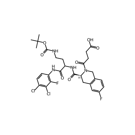 CC(C)(C)OC(=O)NCCC(NC(=O)[C@@H]1Cc2cc(F)ccc2CN1C(=O)CCC(=O)O)C(=O)Nc1ccc(Cl)c(Cl)c1F